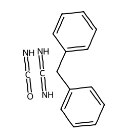 N=C=N.N=C=O.c1ccc(Cc2ccccc2)cc1